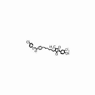 CC1=C(CCCCCCN2CCN(C(=O)COc3ccc(Cl)cc3)CC2)C(=O)N(c2ccc(C#N)c(C(F)(F)F)c2)C1=O